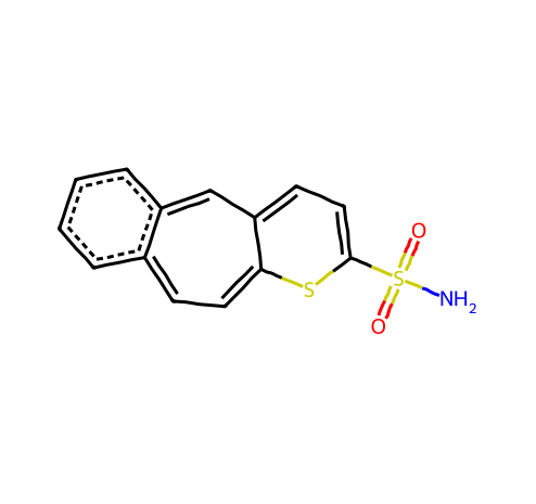 NS(=O)(=O)C1=CC=C2C=c3ccccc3=CC=C2S1